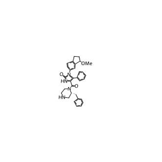 COC1CCc2ccc(-n3c(-c4ccccc4)c(C(=O)N4CCNC[C@H]4Cc4ccccc4)[nH]c3=O)cc21